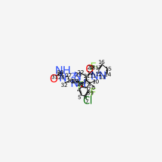 C[C@]1(c2cccc(Cl)c2F)CN(c2ncccc2F)C(=O)c2cnc(NC3CN(C(N)=O)C3)c(F)c21